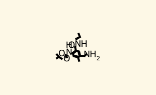 CCCNC(=O)c1cc(CN)c(C)cc1NC(=O)OC(C)(C)C